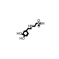 O=S(=O)(O)CCNCCc1ccc(O)c(O)c1